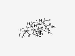 CC(=O)[C@H]1CC[C@H]2[C@@H]3CC[C@@H]4C[C@](O)(C(F)(F)F)CC[C@]4(C)[C@H]3[C@H](O)C[C@]12C